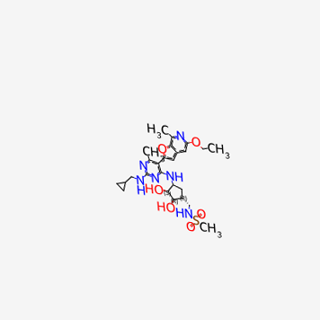 CCOc1cc2cc(-c3c(C)nc(NCC4CC4)nc3NC3C[C@H](CNS(C)(=O)=O)[C@@H](O)[C@H]3O)oc2c(C)n1